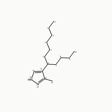 CCCCCCC(CCCC)c1c[nH]nc1C